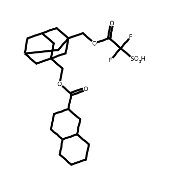 O=C(OCC12CC3CC(C1)CC(COC(=O)C(F)(F)S(=O)(=O)O)(C3)C2)C1CCC2CCCCC2C1